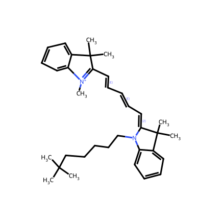 C[N+]1=C(/C=C/C=C/C=C2\N(CCCCCC(C)(C)C)c3ccccc3C2(C)C)C(C)(C)c2ccccc21